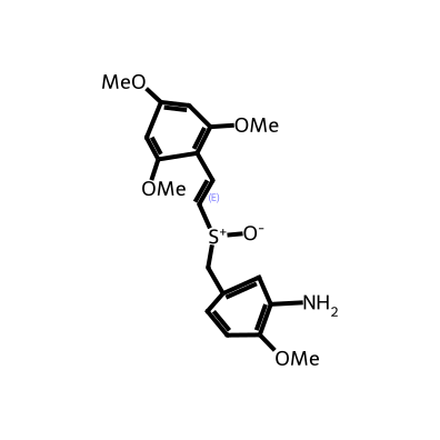 COc1cc(OC)c(/C=C/[S+]([O-])Cc2ccc(OC)c(N)c2)c(OC)c1